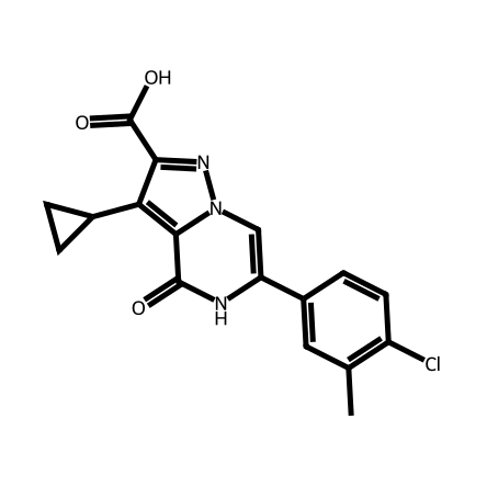 Cc1cc(-c2cn3nc(C(=O)O)c(C4CC4)c3c(=O)[nH]2)ccc1Cl